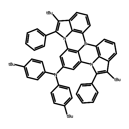 CC(C)(C)c1ccc(N(c2ccc(C(C)(C)C)cc2)c2cc3c4c(c2)-n2c(-c5ccccc5)c(C(C)(C)C)c5cccc(c52)B4c2cccc4c(C(C)(C)C)c(-c5ccccc5)n-3c24)cc1